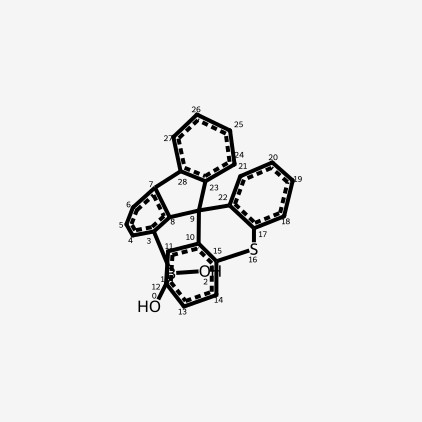 OB(O)c1cccc2c1C1(c3ccccc3Sc3ccccc31)c1ccccc1-2